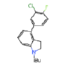 CCC(C)N1CCc2c(-c3ccc(F)c(Cl)c3)cccc21